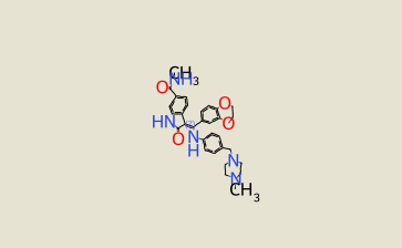 CNC(=O)c1ccc2c(c1)NC(=O)/C2=C(\Nc1ccc(CN2CCN(C)CC2)cc1)c1ccc2c(c1)OCCO2